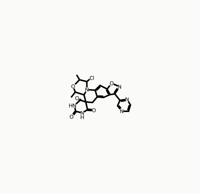 CC1OC(C)C2N(c3cc4onc(-c5cnccn5)c4cc3CC23C(=O)NC(=O)NC3=O)C1Cl